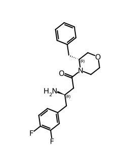 N[C@@H](CC(=O)N1CCOC[C@H]1Cc1ccccc1)Cc1ccc(F)c(F)c1